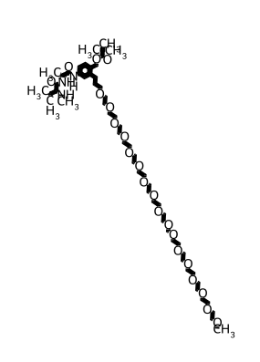 CNC(C(=O)N[C@@H](C)C(=O)Nc1ccc(COC(=O)C(C)(C)C)c(CCCOCCOCCOCCOCCOCCOCCOCCOCCOCCOCOCCOCCOCCOCCOCCOCCOC)c1)C(C)C